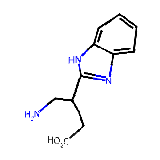 NCC(CC(=O)O)c1nc2ccccc2[nH]1